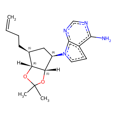 C=CCC[C@H]1C[C@@H](n2ccc3c(N)ncnc32)[C@@H]2OC(C)(C)O[C@H]12